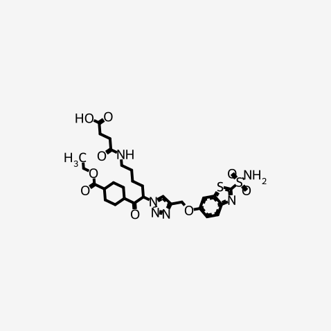 CCOC(=O)C1CCC(C(=O)C(CCCCNC(=O)CCC(=O)O)n2cc(COc3ccc4nc(S(N)(=O)=O)sc4c3)nn2)CC1